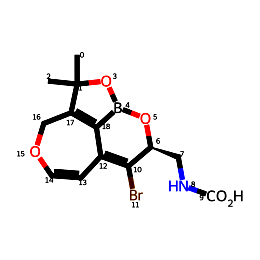 CC1(C)OB2O[C@@H](CNC(=O)O)C(Br)=C3C=COCC1=C23